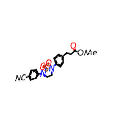 COC(=O)CCc1ccc(N2CCN(c3ccc(C#N)cc3)S2(=O)=O)cc1